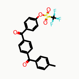 Cc1ccc(C(=O)c2ccc(C(=O)c3ccc(OS(=O)(=O)C(F)(F)F)cc3)cc2)cc1